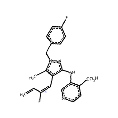 C=C/C(F)=C\c1c(Nc2cnccc2C(=O)O)nn(Cc2ccc(F)cc2)c1C